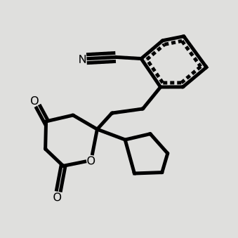 N#Cc1ccccc1CCC1(C2CCCC2)CC(=O)CC(=O)O1